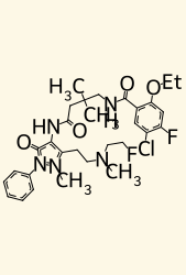 CCOc1cc(F)c(Cl)cc1C(=O)NCC(C)(C)CC(=O)Nc1c(CCN(C)CCF)n(C)n(-c2ccccc2)c1=O